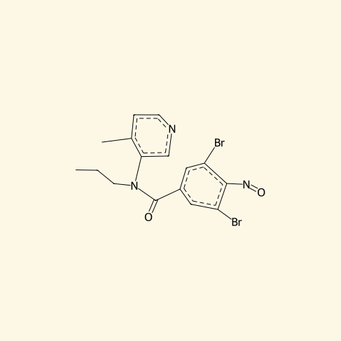 CCCN(C(=O)c1cc(Br)c(N=O)c(Br)c1)c1cnccc1C